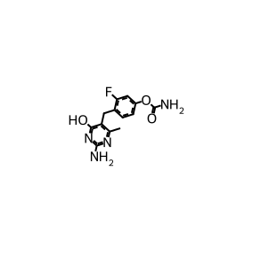 Cc1nc(N)nc(O)c1Cc1ccc(OC(N)=O)cc1F